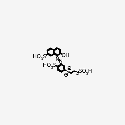 O=S(=O)(O)OCCS(=O)(=O)c1ccc(S(=O)(=O)O)c(N=Nc2c(O)ccc3ccc(S(=O)(=O)O)cc23)c1